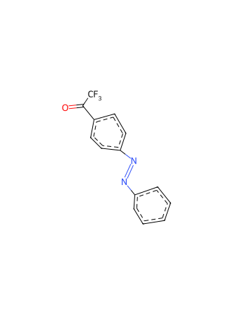 O=C(c1ccc(/N=N/c2ccccc2)cc1)C(F)(F)F